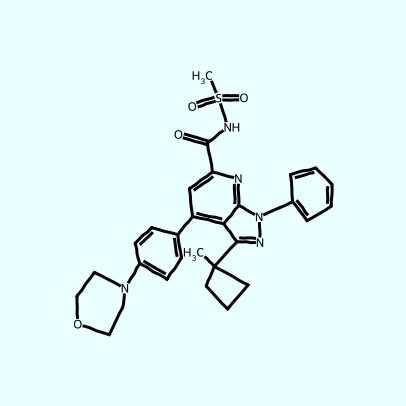 CC1(c2nn(-c3ccccc3)c3nc(C(=O)NS(C)(=O)=O)cc(-c4ccc(N5CCOCC5)cc4)c23)CCC1